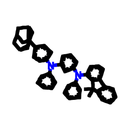 CC1(C)c2ccccc2-c2cccc(N(c3ccccc3)c3cccc(N(c4ccccc4)c4ccc(C56CC7CC(CC(C7)C5)C6)cc4)c3)c21